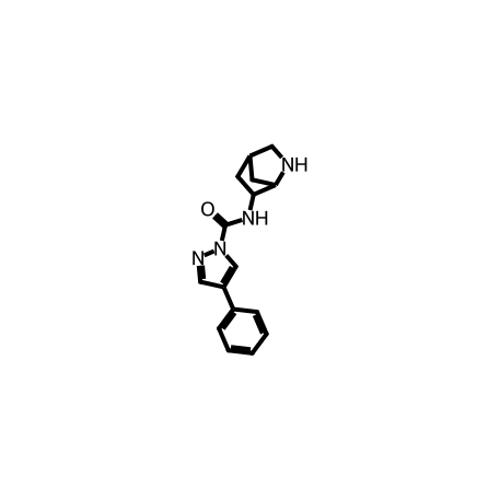 O=C(NC1CC2CNC1C2)n1cc(-c2ccccc2)cn1